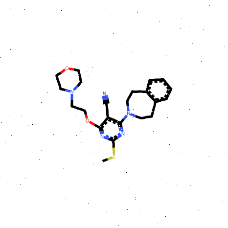 CSc1nc(OCCN2CCOCC2)c(C#N)c(N2CCc3ccccc3CC2)n1